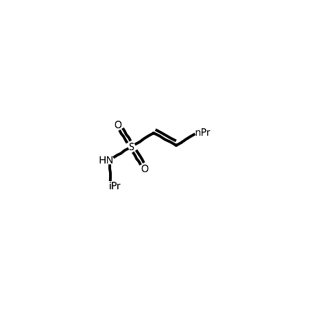 CCC/C=C/S(=O)(=O)NC(C)C